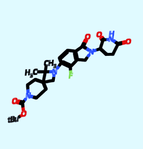 CC(C)(C)OC(=O)N1CCC2(CC1)CN(c1ccc3c(c1F)CN(C1CCC(=O)NC1=O)C3=O)C2(C)C